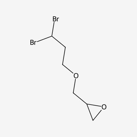 BrC(Br)CCOCC1CO1